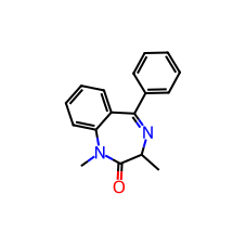 CC1N=C(c2ccccc2)c2ccccc2N(C)C1=O